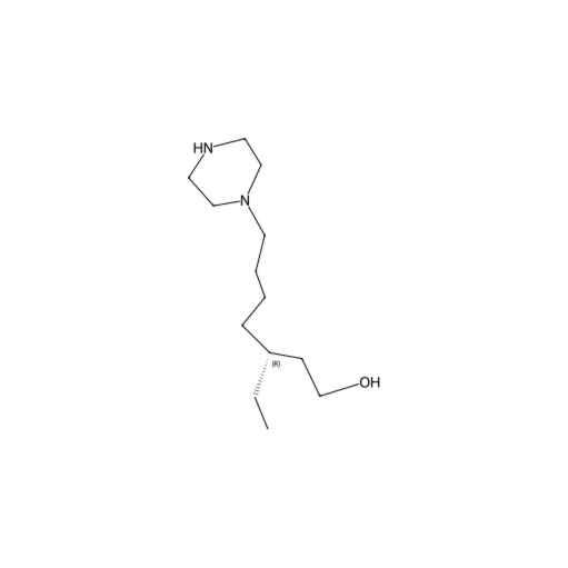 CC[C@@H](CCO)CCCCN1CCNCC1